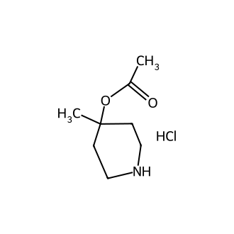 CC(=O)OC1(C)CCNCC1.Cl